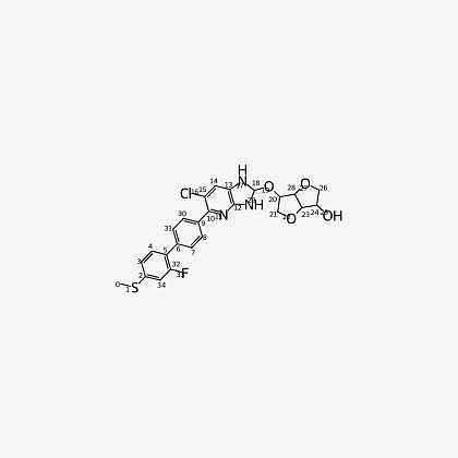 CSc1ccc(-c2ccc(-c3nc4c(cc3Cl)NC(OC3COC5C(O)COC35)N4)cc2)c(F)c1